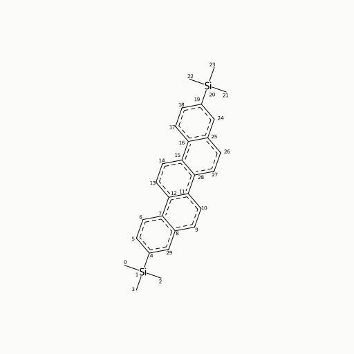 C[Si](C)(C)c1ccc2c(ccc3c2ccc2c4ccc([Si](C)(C)C)cc4ccc23)c1